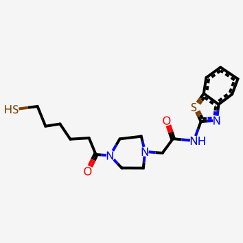 O=C(CN1CCN(C(=O)CCCCCS)CC1)Nc1nc2ccccc2s1